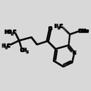 COC(C)c1ncccc1C(=O)CCC(C)(C)C(=O)O